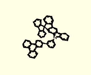 c1cc(-c2ccc3c4ccccc4c4ccccc4c3c2)cc(-n2c3ccccc3c3cc4c(cc32)C2(c3ccccc3-c3ccccc32)c2ccccc2-4)c1